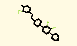 Cc1ccc(CCc2ccc(-c3ccc(-c4ccccc4)c(F)c3F)cc2)cc1F